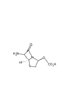 NC1C(=O)N2C(OC(=O)O)CS[C@@H]12